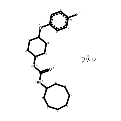 O=C(N[C]1CCCCCCC1)NC1CCC(Oc2ccc(F)cc2)CC1.[CH2].[CH2]